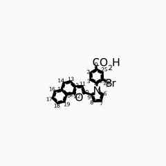 O=C(O)c1ccc(-n2cccc2-c2cc3ccc4ccccc4c3o2)c(Br)c1